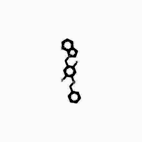 Fc1cc(OCc2ccccc2)c(F)cc1Cn1ccc2cccnc21